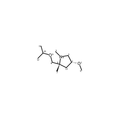 CO[C@H]1CN(C)[C@@](C)(COC(C)C)C1